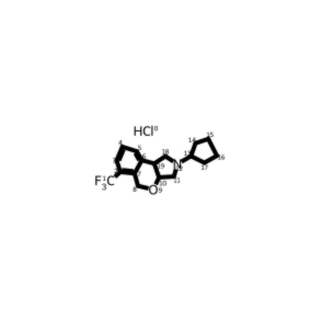 Cl.FC(F)(F)c1cccc2c1COC1CN(C3CCCC3)CC21